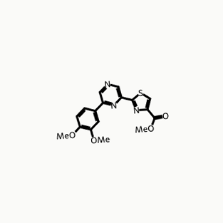 COC(=O)c1csc(-c2cncc(-c3ccc(OC)c(OC)c3)n2)n1